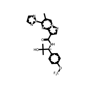 Cc1cn2ncc(C(=O)N[C@@H](c3ccc(OC(F)(F)F)cc3)C(C)(C)O)c2nc1-n1nccn1